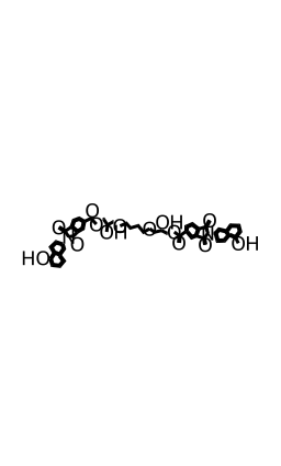 O=C(OCC(O)COCCCCOCC(O)COC(=O)c1ccc2c(c1)C(=O)N(c1ccc3c(O)cccc3c1)C2=O)c1ccc2c(c1)C(=O)N(c1ccc3c(O)cccc3c1)C2=O